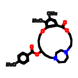 COc1ccc(C(=O)OC2CCCOc3cc(cc(OC)c3OC)C(=O)OCCCN3CCCN(CC2)CC3)cc1